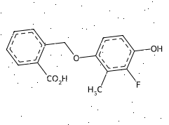 Cc1c(OCc2ccccc2C(=O)O)ccc(O)c1F